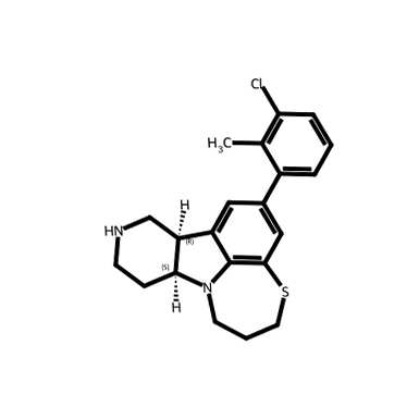 Cc1c(Cl)cccc1-c1cc2c3c(c1)[C@@H]1CNCC[C@@H]1N3CCCS2